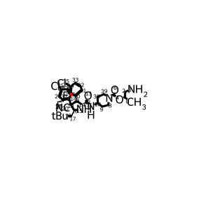 CC(CN)OC(=O)N1CCC(NC(=O)[C@@H]2N[C@@H](CC(C)(C)C)[C@](C#N)(c3ccc(Cl)cc3F)[C@H]2c2cccc(Cl)c2F)CC1